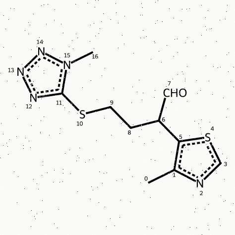 Cc1ncsc1C(C=O)CCSc1nnnn1C